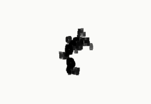 CC(CC(=N)C(=O)c1ccc(Nc2ccc3[nH]ccc3c2)cc1)N(C)C